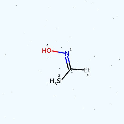 CCC([SiH3])=NO